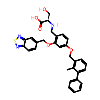 Cc1c(COc2ccc(CN[C@H](CO)C(=O)O)c(OCc3ccc4nsnc4c3)c2)cccc1-c1ccccc1